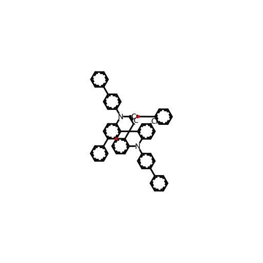 Clc1ccc2c(c1)C1(c3ccccc3N2c2ccc(-c3ccccc3)cc2)c2cc(-c3ccccc3)ccc2N(c2ccc(-c3ccccc3)cc2)c2ccc(-c3ccccc3)cc21